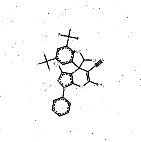 Cc1nn(-c2ccccc2)c2c1C(c1cc(C(F)(F)F)cc(C(F)(F)F)c1)(C(C)C)C(C#N)=C(N)O2